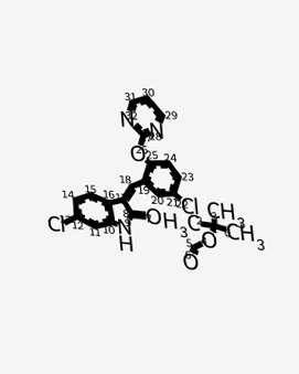 CC(C)(C)OC=O.O=C1Nc2cc(Cl)ccc2C1=Cc1cc(Cl)ccc1Oc1ncccn1